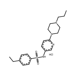 CCCN1CCN(c2ccc(NS(=O)(=O)c3ccc(CC)cc3)cn2)CC1.Cl